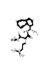 C[C@H](NC(=O)[C@H](CCCN(N)C(=O)O)C(=O)OC(C)(C)C)c1cccc2ccccc12